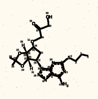 CCCSc1nc(N)c2nnn([C@@H]3C[C@H](OCC(=O)CO)[C@H]4OC(C)(C)O[C@H]43)c2n1